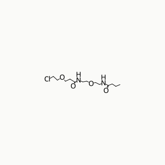 CCCC(=O)NCCOCCNC(=O)CCOCCCl